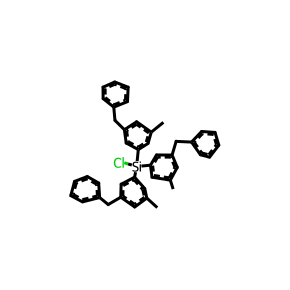 Cc1cc(Cc2ccccc2)cc([Si](Cl)(c2cc(C)cc(Cc3ccccc3)c2)c2cc(C)cc(Cc3ccccc3)c2)c1